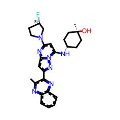 Cc1nc2ccccc2nc1-c1cc2nc(N3CC[C@@H](F)C3)cc(N[C@H]3CC[C@](C)(O)CC3)n2n1